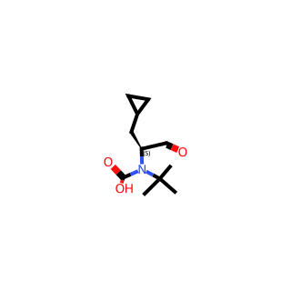 CC(C)(C)N(C(=O)O)[C@H](C=O)CC1CC1